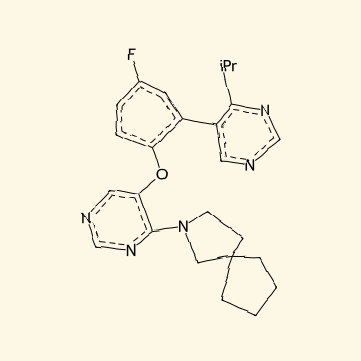 CC(C)c1ncncc1-c1cc(F)ccc1Oc1cncnc1N1CCC2(CCCC2)C1